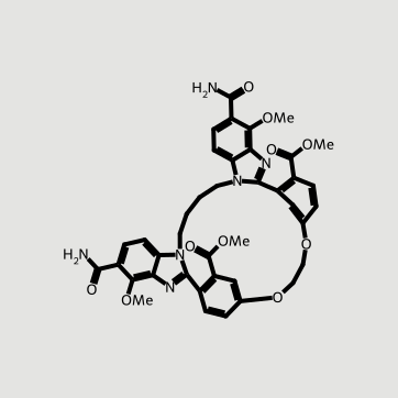 COC(=O)c1cc2ccc1-c1nc3c(OC)c(C(N)=O)ccc3n1CCCCn1c(nc3c(OC)c(C(N)=O)ccc31)-c1cc(ccc1C(=O)OC)OCCO2